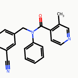 Cc1cnccc1C(=O)N(Cc1cccc(C#N)c1)c1ccccc1